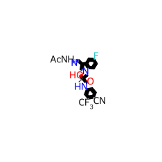 CC(=O)N/N=C/c1cn(C[C@](C)(O)C(=O)Nc2ccc(C#N)c(C(F)(F)F)c2)c2ccc(F)cc12